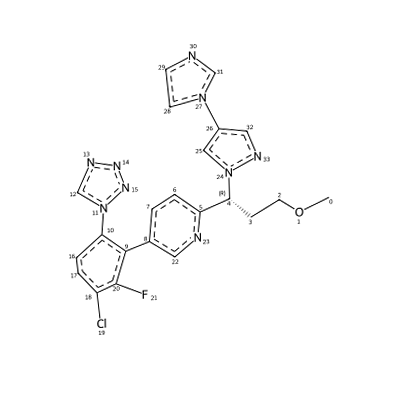 COCC[C@H](c1ccc(-c2c(-n3cnnn3)ccc(Cl)c2F)cn1)n1cc(-n2ccnc2)cn1